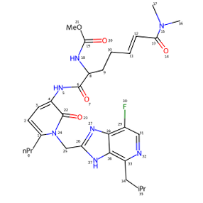 CCCc1ccc(NC(=O)C(CC/C=C/C(=O)N(C)C)NC(=O)OC)c(=O)n1Cc1nc2c(F)cnc(CC(C)C)c2[nH]1